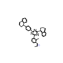 C/C=C\c1cccc(-c2nc(C3=c4ccccc4=CCC3)nc(-c3ccc(C4CC=Cc5ccccc54)cc3)n2)c1C